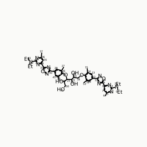 CCN(CC)c1nc(C)cc(-c2nc(-c3cc(C)c(OCC(O)C(O)C(Oc4c(C)cc(-c5noc(-c6cc(C)nc(N(CC)CC)n6)n5)cc4C)C(O)CO)c(C)c3)no2)n1